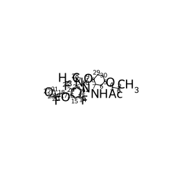 CC(=O)N[C@@H](C)CO[C@H]1CC[C@H](Oc2nc3c(F)cc(OCC4(F)COC4)c(F)c3n2C)CC1